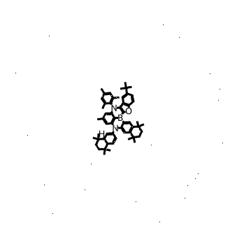 Cc1cc(C)c(N2c3cc(C)cc4c3B(c3cc5c(cc3N4C3=C[C@H]4C(C=C3)C(C)(C)CCC4(C)C)C(C)(C)CCC5(C)C)c3oc4ccc(C(C)(C)C)cc4c32)c(C)c1